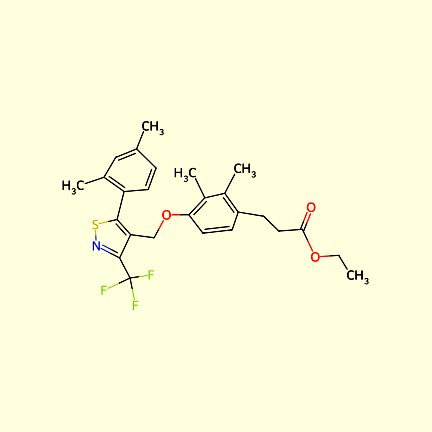 CCOC(=O)CCc1ccc(OCc2c(C(F)(F)F)nsc2-c2ccc(C)cc2C)c(C)c1C